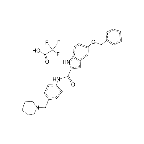 O=C(Nc1ccc(CN2CCCCC2)cc1)c1cc2cc(OCc3ccccc3)ccc2[nH]1.O=C(O)C(F)(F)F